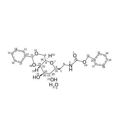 O.O=C(NCC[C@@H]1O[C@@H]2COC(c3ccccc3)O[C@H]2[C@H](O)[C@H]1O)OCc1ccccc1